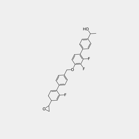 CC(O)c1ccc(-c2ccc(OCc3ccc(C4=CCC(C5CO5)C=C4F)cc3)c(F)c2F)cc1